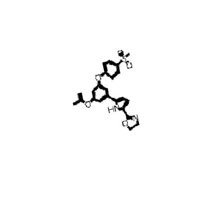 C=C(C)Oc1cc(Oc2ccc(S(C)(=O)=O)cc2)cc(-c2ccc(C3=NCCO3)[nH]2)c1